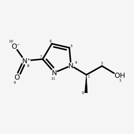 C[C@H](CO)n1ccc([N+](=O)[O-])n1